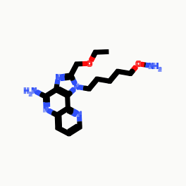 CCOCc1nc2c(N)nc3cccnc3c2n1CCCCCON